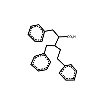 O=C(O)C(Cc1ccccc1)C(CCc1ccccc1)Cc1ccccc1